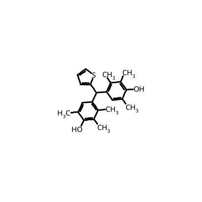 Cc1cc(C(c2cccs2)c2cc(C)c(O)c(C)c2C)c(C)c(C)c1O